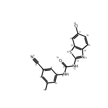 Cc1cc(C#N)cc(NC(=O)Nc2nc3ccc(Cl)cc3s2)c1